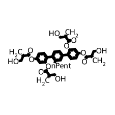 C=C(CO)C(=O)Oc1ccc(-c2ccc(-c3ccc(OC(=O)C(=C)CO)cc3OC(=O)C(=C)CO)c(CCCCC)c2)c(OC(=O)C(=C)CO)c1